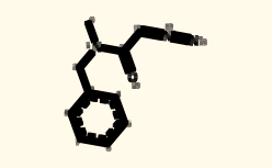 CN(Cc1ccccc1)C(=O)C=[N+]=[N-]